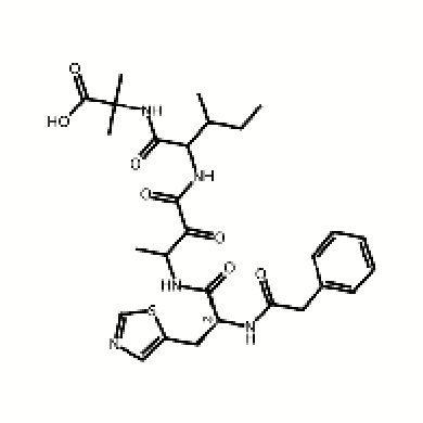 CCC(C)C(NC(=O)C(=O)C(C)NC(=O)[C@H](Cc1cncs1)NC(=O)Cc1ccccc1)C(=O)NC(C)(C)C(=O)O